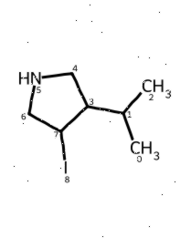 CC(C)C1CNCC1I